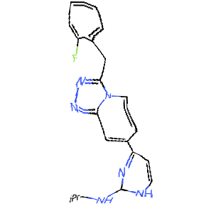 CC(C)NC1N=C(c2ccn3c(Cc4ccccc4F)nnc3c2)C=CN1